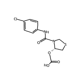 O=C(O)O[C@H]1CSCN1C(=O)Nc1ccc(Cl)cc1